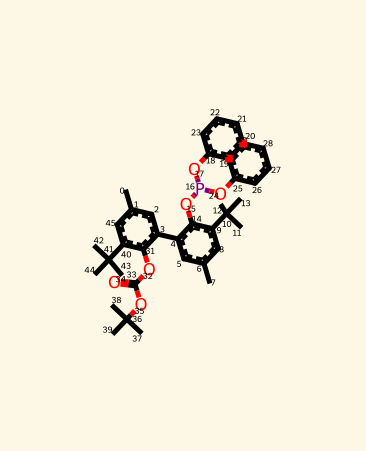 Cc1cc(-c2cc(C)cc(C(C)(C)C)c2OP(Oc2ccccc2)Oc2ccccc2)c(OC(=O)OC(C)(C)C)c(C(C)(C)C)c1